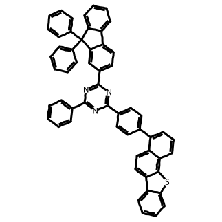 c1ccc(-c2nc(-c3ccc(-c4cccc5c4ccc4c6ccccc6sc54)cc3)nc(-c3ccc4c(c3)C(c3ccccc3)(c3ccccc3)c3ccccc3-4)n2)cc1